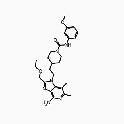 CCOCc1nc2c(N)nc(C)c(C)c2n1CCC1CCN(C(=O)Nc2cccc(OC)c2)CC1